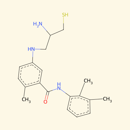 Cc1ccc(NCC(N)CS)cc1C(=O)Nc1cccc(C)c1C